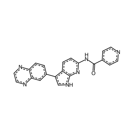 O=C(Nc1ccc2c(-c3ccc4nccnc4c3)c[nH]c2n1)c1ccncc1